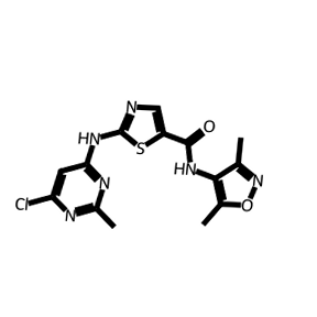 Cc1nc(Cl)cc(Nc2ncc(C(=O)Nc3c(C)noc3C)s2)n1